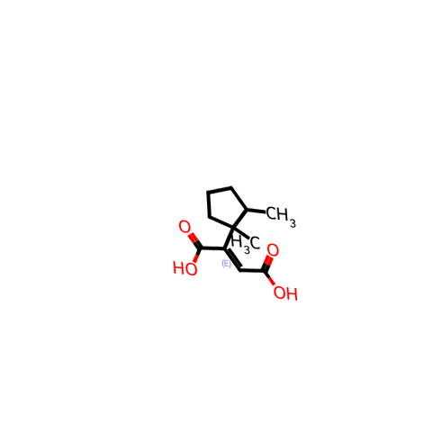 CC1CCCC1(C)/C(=C\C(=O)O)C(=O)O